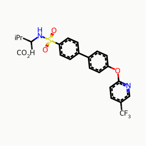 CC(C)C(NS(=O)(=O)c1ccc(-c2ccc(Oc3ccc(C(F)(F)F)cn3)cc2)cc1)C(=O)O